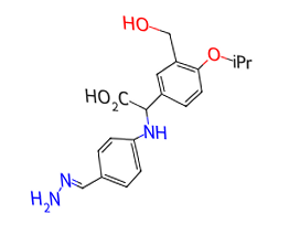 CC(C)Oc1ccc(C(Nc2ccc(C=NN)cc2)C(=O)O)cc1CO